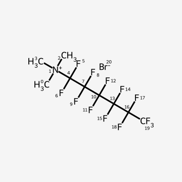 C[N+](C)(C)C(F)(F)C(F)(F)C(F)(F)C(F)(F)C(F)(F)C(F)(F)F.[Br-]